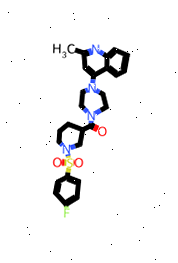 Cc1cc(N2CCN(C(=O)C3CCCN(S(=O)(=O)c4ccc(F)cc4)C3)CC2)c2ccccc2n1